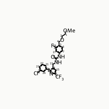 COCCOCc1ccc(NC(=O)NCc2cc(C(F)(F)F)nn2-c2cccc(Cl)c2)cc1F